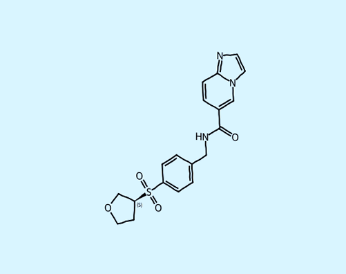 O=C(NCc1ccc(S(=O)(=O)[C@H]2CCOC2)cc1)c1ccc2nccn2c1